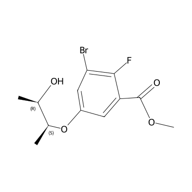 COC(=O)c1cc(O[C@@H](C)[C@@H](C)O)cc(Br)c1F